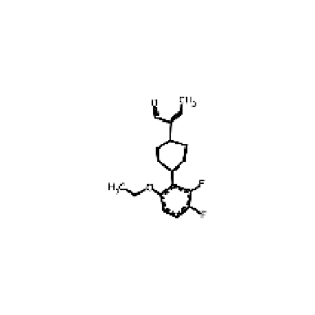 CC=C([C]=O)C1CCC(c2c(OCC)ccc(F)c2F)CC1